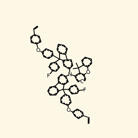 C=Cc1ccc(Oc2ccc(C3(c4ccc(F)cc4)c4ccccc4-c4ccc(N(c5ccc6c(c5)C(c5ccc(F)cc5)(c5ccc(Oc7ccc(C=C)cc7)cc5)c5ccccc5-6)c5cccc6c5C(C)(C)c5ccccc5O6)cc43)cc2)cc1